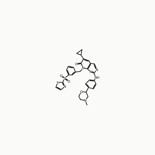 CN1CCOC(c2ccc(Nc3ncc4cc(C5CC5)c(=O)n(Cc5cccc(S(=O)(=O)c6nccs6)c5)c4n3)cc2)C1